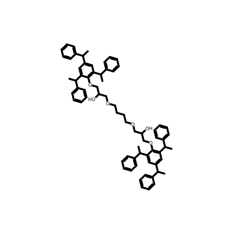 CC(c1ccccc1)c1cc(C(C)c2ccccc2)c(OCC(O)COCCCCOCC(O)COc2c(C(C)c3ccccc3)cc(C(C)c3ccccc3)cc2C(C)c2ccccc2)c(C(C)c2ccccc2)c1